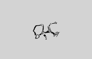 CC(C)N(SBr)P1(=S)OCCO1